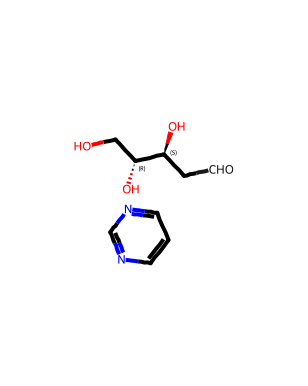 O=CC[C@H](O)[C@H](O)CO.c1cncnc1